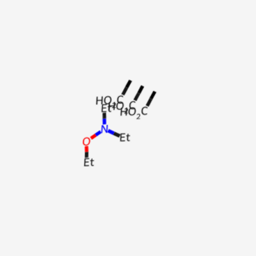 CC(=O)O.CC(=O)O.CC(=O)O.CCON(CC)CC